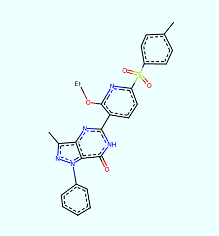 CCOc1nc(S(=O)(=O)c2ccc(C)cc2)ccc1-c1nc2c(C)nn(-c3ccccc3)c2c(=O)[nH]1